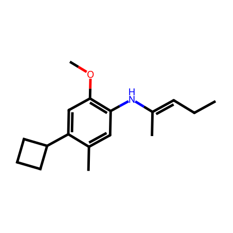 CC/C=C(\C)Nc1cc(C)c(C2CCC2)cc1OC